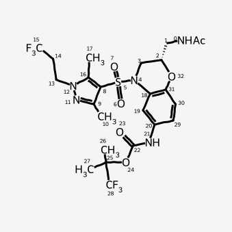 CC(=O)NC[C@H]1CN(S(=O)(=O)c2c(C)nn(CCC(F)(F)F)c2C)c2cc(NC(=O)OC(C)(C)C(F)(F)F)ccc2O1